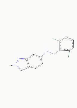 Cn1cc2ccc(NCc3c(Cl)cccc3Cl)cc2n1